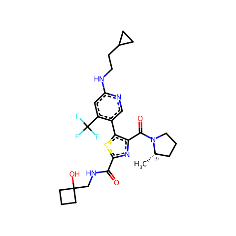 C[C@H]1CCCN1C(=O)c1nc(C(=O)NCC2(O)CCC2)sc1-c1cnc(NCCC2CC2)cc1C(F)(F)F